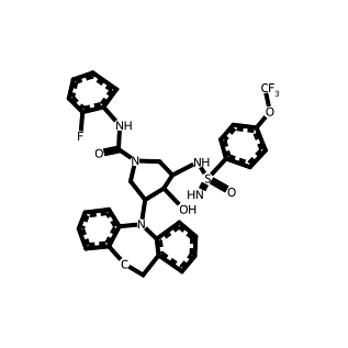 N=S(=O)(NC1CN(C(=O)Nc2ccccc2F)CC(N2c3ccccc3CCc3ccccc32)C1O)c1ccc(OC(F)(F)F)cc1